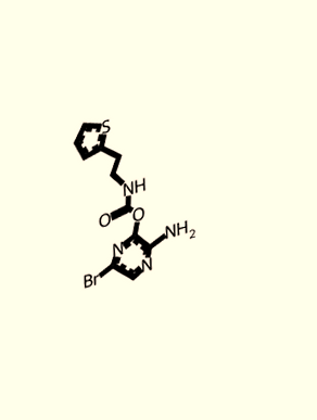 Nc1ncc(Br)nc1OC(=O)NCCc1cccs1